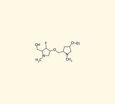 CCOC1CC(COC2CN(C)C(CO)C2F)N(C)C1